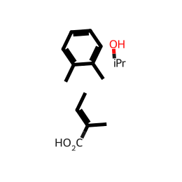 CC(C)O.CC=C(C)C(=O)O.Cc1ccccc1C